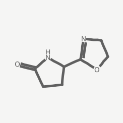 O=C1CCC(C2=NCCO2)N1